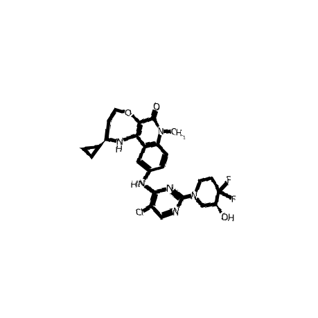 Cn1c(=O)c2c(c3cc(Nc4nc(N5CCC(F)(F)[C@@H](O)C5)ncc4Cl)ccc31)N[C@@H](C1CC1)CCO2